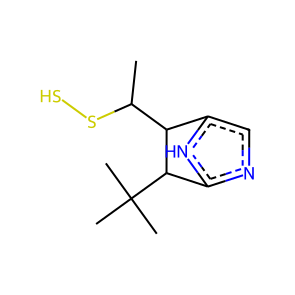 CC(SS)C1c2cnc([nH]2)C1C(C)(C)C